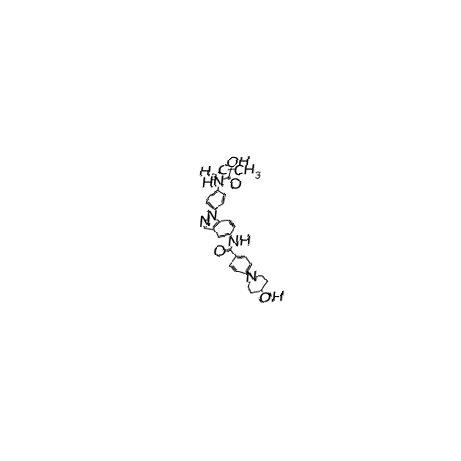 CC(C)(O)C(=O)Nc1ccc(-n2ncc3cc(NC(=O)c4ccc(N5CCC(O)CC5)cc4)ccc32)cc1